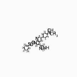 CN(C)c1ccc(-c2cnc3c(c2)c(-c2c[nH]cn2)cn3OOSc2ccccc2)cc1